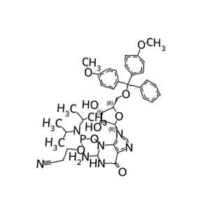 COc1ccc(C(OC[C@H]2O[C@@H](n3cnc4c3N(OP(OCCC#N)N(C(C)C)C(C)C)C(N)NC4=O)[C@H](O)[C@@H]2O)(c2ccccc2)c2ccc(OC)cc2)cc1